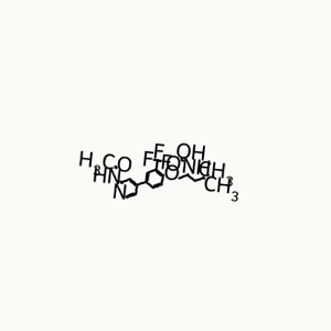 CC(=O)Nc1cc(-c2ccc(OCC(CC(C)C)NC(=O)O)c(C(F)(F)F)c2)ccn1